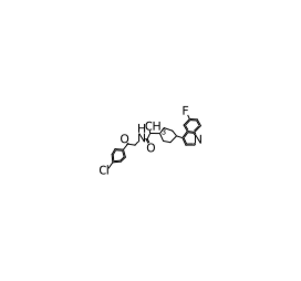 CC(C(=O)NCC(=O)c1ccc(Cl)cc1)C1CCC(c2ccnc3ccc(F)cc23)CC1